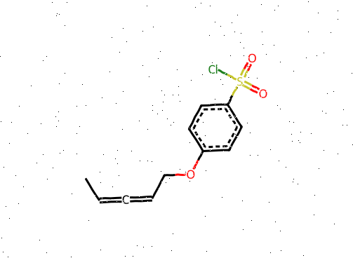 CC=C=CCOc1ccc(S(=O)(=O)Cl)cc1